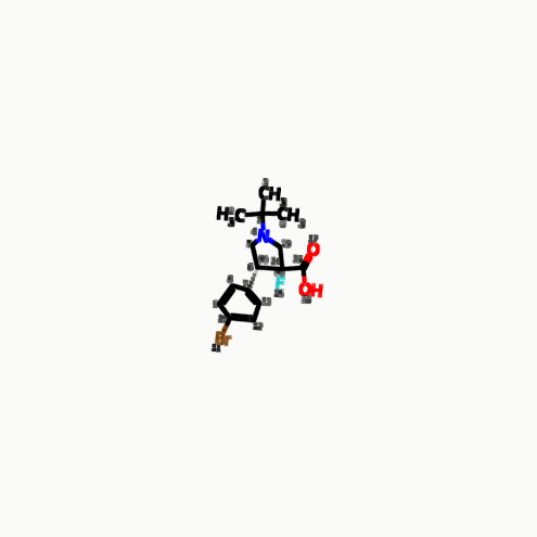 CC(C)(C)N1C[C@@H](c2ccc(Br)cc2)[C@](F)(C(=O)O)C1